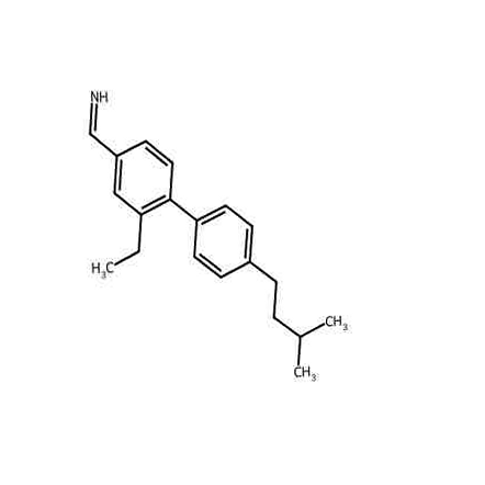 CCc1cc(C=N)ccc1-c1ccc(CCC(C)C)cc1